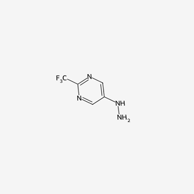 NNc1cnc(C(F)(F)F)nc1